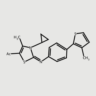 CC(=O)c1sc(=Nc2ccc(-c3sccc3C)cc2)n(C2CC2)c1C